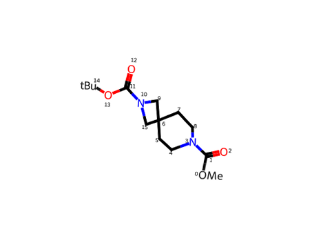 COC(=O)N1CCC2(CC1)CN(C(=O)OC(C)(C)C)C2